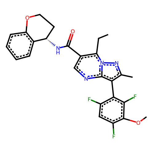 CCc1c(C(=O)N[C@H]2CCOc3ccccc32)cnc2c(-c3c(F)cc(F)c(OC)c3F)c(C)nn12